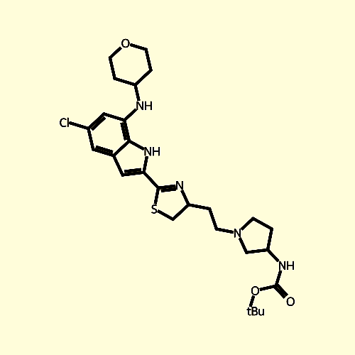 CC(C)(C)OC(=O)NC1CCN(CCC2CSC(c3cc4cc(Cl)cc(NC5CCOCC5)c4[nH]3)=N2)C1